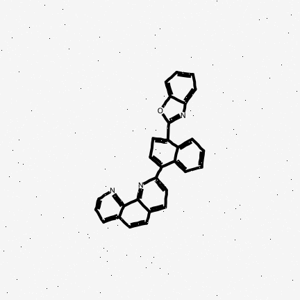 c1cnc2c(c1)ccc1ccc(-c3ccc(-c4nc5ccccc5o4)c4ccccc34)nc12